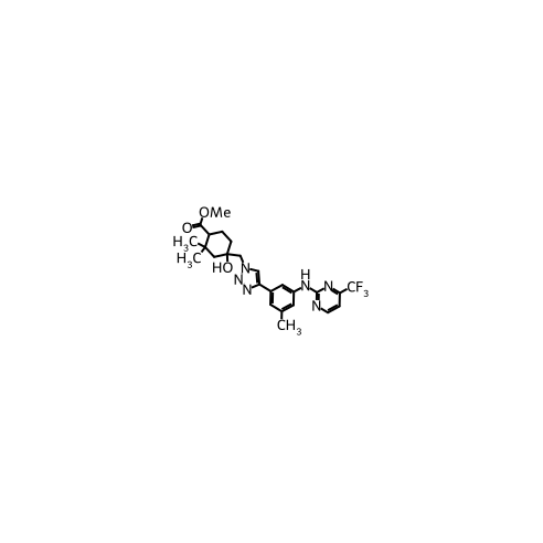 COC(=O)C1CCC(O)(Cn2cc(-c3cc(C)cc(Nc4nccc(C(F)(F)F)n4)c3)nn2)CC1(C)C